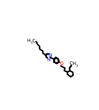 CCCCCCCc1cnc(-c2ccc(OCCCC3CCCCC3CCC)cc2)nc1